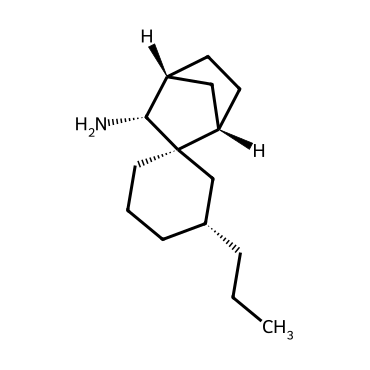 CCC[C@@H]1CCC[C@@]2(C1)[C@H]1CC[C@H](C1)[C@H]2N